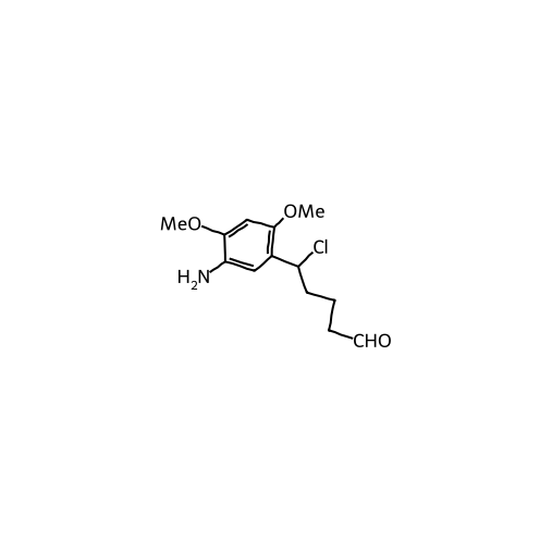 COc1cc(OC)c(C(Cl)CCCC=O)cc1N